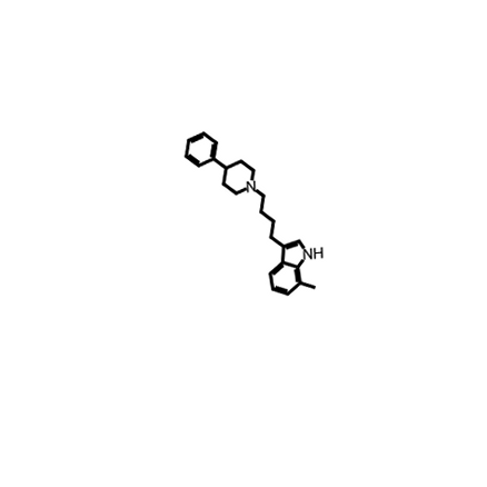 Cc1cccc2c(CCCCN3CCC(c4ccccc4)CC3)c[nH]c12